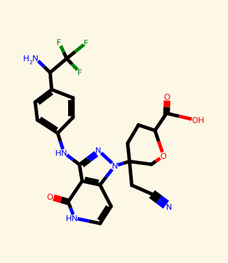 N#CCC1(n2nc(Nc3ccc(C(N)C(F)(F)F)cc3)c3c(=O)[nH]ccc32)CCC(C(=O)O)OC1